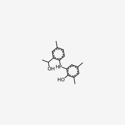 Cc1cc(C)c(O)c(Pc2ccc(C)cc2C(C)O)c1